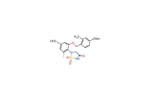 COc1ccc(COc2cc(C=O)cc(F)c2N2CC(=O)NS2(=O)=O)c(C)c1